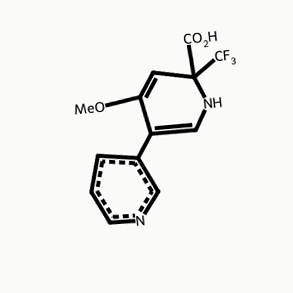 COC1=CC(C(=O)O)(C(F)(F)F)NC=C1c1cccnc1